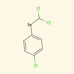 Clc1ccc([Se]C(Cl)Cl)cc1